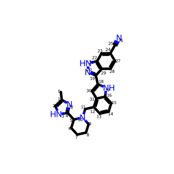 Cc1c[nH]c(C2CCCCN2Cc2cccc3[nH]c(-c4n[nH]c5cc(C#N)ccc45)cc23)n1